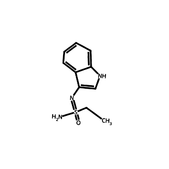 CCS(N)(=O)=Nc1c[nH]c2ccccc12